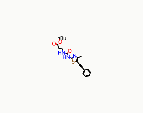 Cc1nc(NC(=O)NCCC(=O)OC(C)(C)C)sc1C#Cc1ccccc1